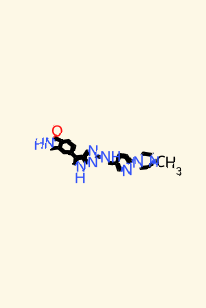 CN1CCN(c2ccc(CNc3ncc4c(-c5ccc6c(c5)CNC6=O)c[nH]c4n3)cn2)CC1